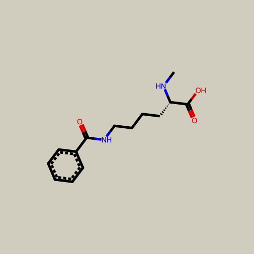 CN[C@@H](CCCCNC(=O)c1ccccc1)C(=O)O